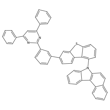 c1ccc(-c2cc(-c3ccccc3)nc(-c3cccc(-c4ccc5c(c4)sc4cccc(-n6c7ccccc7c7c8ccccc8ccc76)c45)c3)n2)cc1